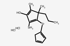 CCCC1(C)C(C)=C(O)C([SiH3])=[C]1[Zr][C]1=CC=CC1.Cl.Cl